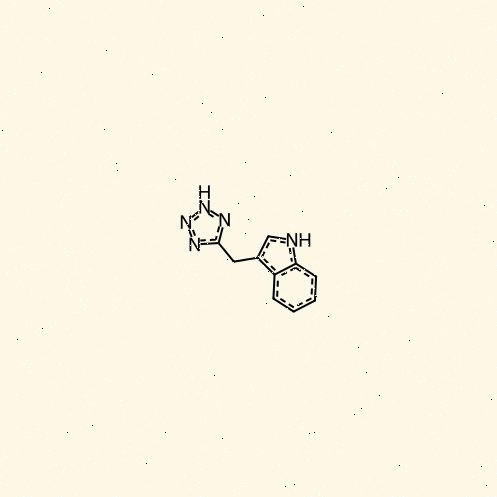 c1ccc2c(Cc3nn[nH]n3)c[nH]c2c1